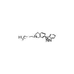 CCCCCN1CCc2ccc(-n3nnc4ccccc43)cc2C1